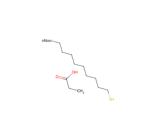 CCC(=O)O.CCCCCCCCCCCCCCCCCCS